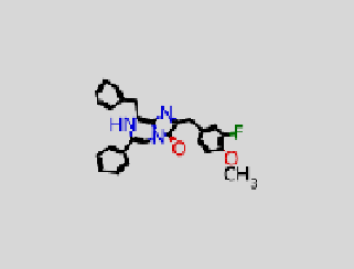 COc1ccc(Cc2nc3c(Cc4ccccc4)[nH]c(-c4ccccc4)cn-3c2=O)cc1F